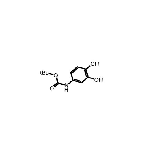 CC(C)(C)OC(=O)Nc1ccc(O)c(O)c1